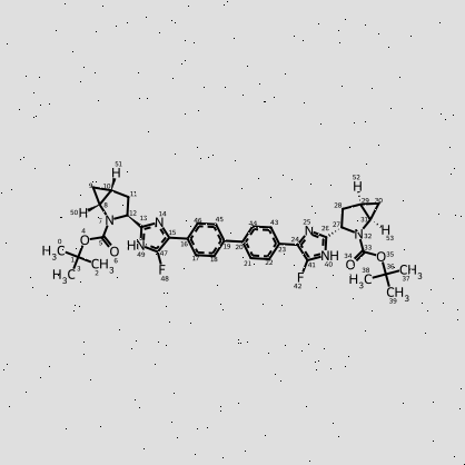 CC(C)(C)OC(=O)N1[C@@H]2C[C@@H]2C[C@H]1c1nc(-c2ccc(-c3ccc(-c4nc([C@@H]5C[C@H]6C[C@H]6N5C(=O)OC(C)(C)C)[nH]c4F)cc3)cc2)c(F)[nH]1